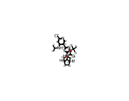 CC(C)Nc1cc(Cl)ncc1-c1nnc(N2C[C@H]3CC[C@@H](C2)C3NC(=O)OC(C)(C)C)s1